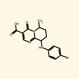 CC1CCC(Nc2ccc(Br)cc2)c2ncc(C(=O)O)c(=O)n21